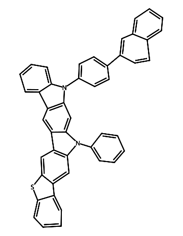 c1ccc(-n2c3cc4c(cc3c3cc5c6ccccc6n(-c6ccc(-c7ccc8ccccc8c7)cc6)c5cc32)sc2ccccc24)cc1